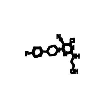 N#Cc1c(Cl)nc(NCCO)nc1N1CCC(c2ccc(F)cc2)CC1